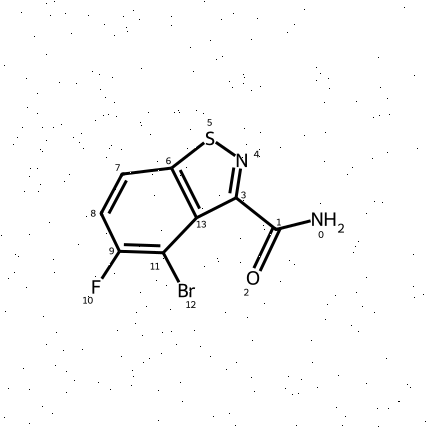 NC(=O)c1nsc2ccc(F)c(Br)c12